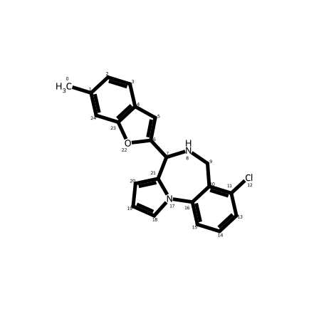 Cc1ccc2cc(C3NCc4c(Cl)cccc4-n4cccc43)oc2c1